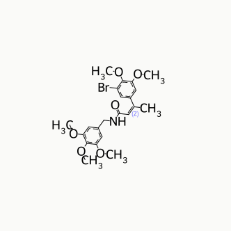 COc1cc(/C(C)=C\C(=O)NCc2cc(OC)c(OC)c(OC)c2)cc(Br)c1OC